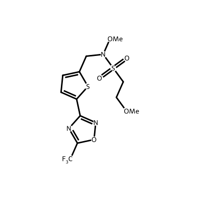 COCCS(=O)(=O)N(Cc1ccc(-c2noc(C(F)(F)F)n2)s1)OC